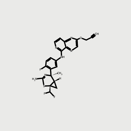 C#CCOc1cnc2c(Nc3ccc(F)c([C@]4(C)N=C(N)S[C@@]5(C(F)F)C[C@@H]45)c3)nccc2n1